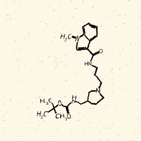 Cn1cc(C(=O)NCCCN2CCC(CNC(=O)OC(C)(C)C)C2)c2ccccc21